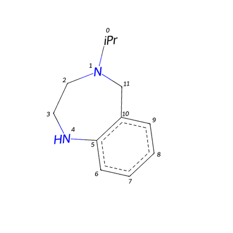 CC(C)N1CCNc2ccccc2C1